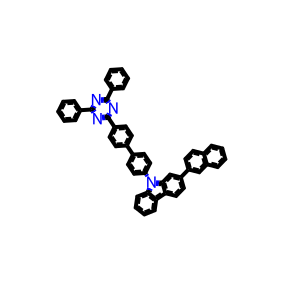 c1ccc(-c2nc(-c3ccccc3)nc(-c3ccc(-c4ccc(-n5c6ccccc6c6ccc(-c7ccc8ccccc8c7)cc65)cc4)cc3)n2)cc1